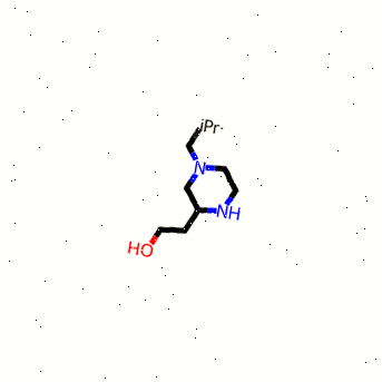 C[C](C)CN1CCNC(CCO)C1